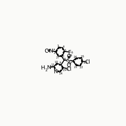 [C-]#[N+]c1ccc(F)c(C(c2cc(N)ncc2Cl)S(=O)(=O)c2ccc(Cl)cc2)c1